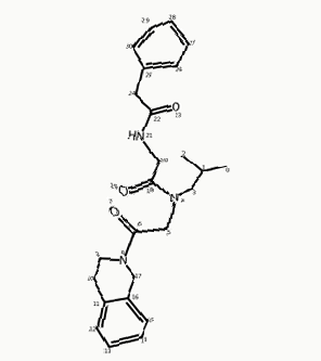 CC(C)CN(CC(=O)N1CCc2ccccc2C1)C(=O)CNC(=O)Cc1ccccc1